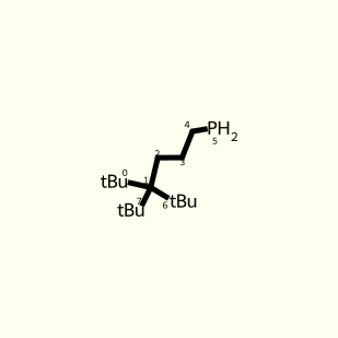 CC(C)(C)C(CCCP)(C(C)(C)C)C(C)(C)C